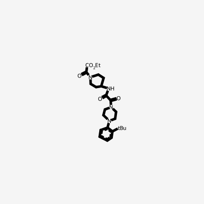 CCOC(=O)C(=O)N1CCC(NC(=O)C(=O)N2CCN(c3ccccc3C(C)(C)C)CC2)CC1